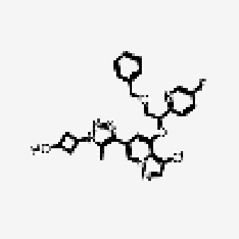 Cc1c(-c2cc(OC(COCc3ccccc3)c3ccc(F)cn3)c3c(Cl)cnn3c2)nnn1C1CC(O)C1